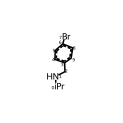 CC(C)NCc1ccc(Br)cc1